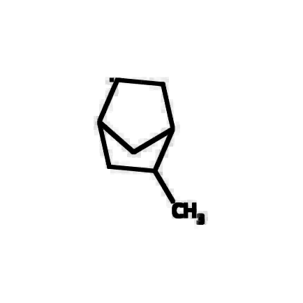 CC1CC2[CH]CC1C2